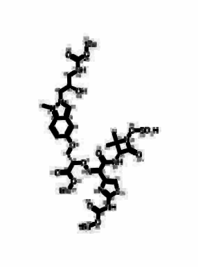 C[n+]1c2ccc(OC[C@H](O/N=C(\C(=O)N[C@@H]3C(=O)N(OS(=O)(=O)O)C3(C)C)c3csc(NC(=O)OC(C)(C)C)n3)C(=O)OC(C)(C)C)cc2cn1C[C@H](O)CNC(=O)OC(C)(C)C